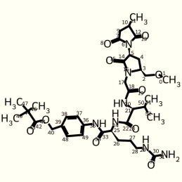 COC[C@@H]1C[C@H](N2C(=O)CC(C)C2=O)C(=O)N1CC(=O)N[C@H](C(=O)N[C@@H](CCCNC(N)=O)C(=O)Nc1ccc(COC(=O)C(C)(C)C)cc1)C(C)C